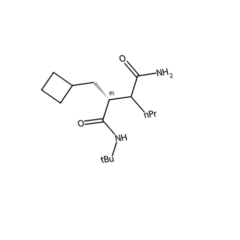 CCCC(C(N)=O)[C@@H](CC1CCC1)C(=O)NC(C)(C)C